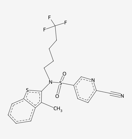 Cc1c(N(CCCCC(F)(F)F)S(=O)(=O)c2ccc(C#N)nc2)sc2ccccc12